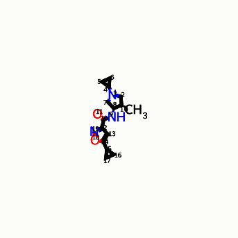 C[C@@H]1CN(C2CC2)C[C@@H]1NC(=O)c1cc(C2CC2)on1